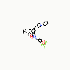 Cc1cc(CC2CCN(C3CCCC3)CC2)cc2c1C(=O)N(Cc1ccc(OC(F)(F)F)cc1)C2